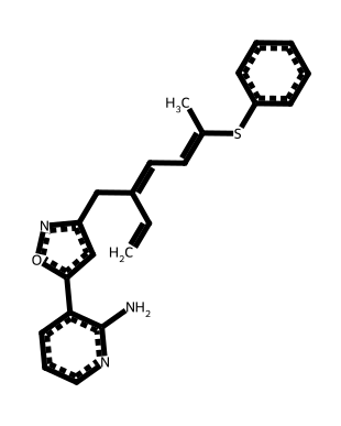 C=C/C(=C\C=C(/C)Sc1ccccc1)Cc1cc(-c2cccnc2N)on1